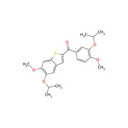 COc1ccc(C(=O)c2cc3cc(OC(C)C)c(OC)cc3s2)cc1OC(C)C